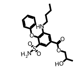 CCCCNc1cc(C(=O)OCC(C)O)cc(S(N)(=O)=O)c1Oc1ccccc1